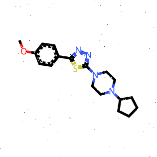 COc1ccc(-c2nnc(N3CCN(C4CCCC4)CC3)s2)cc1